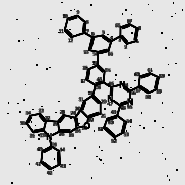 c1ccc(-c2cc(-c3ccccc3)cc(-c3ccc(-c4ccc5oc6cc7c(cc6c5c4)c4ccccc4n7-c4ccccc4)c(-c4nc(-c5ccccc5)nc(-c5ccccc5)n4)c3)c2)cc1